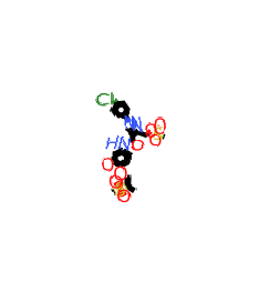 COc1cc(NC(=O)c2cn(-c3ccc(Cl)cc3)nc2COS(C)(=O)=O)ccc1OCC(C)S(C)(=O)=O